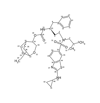 CC(C)CN(CC[C@H](Cc1ccccc1)NC(=O)OC1COC2OCC1CCC2C)S(=O)(=O)c1ccc2nc(NC3CC3)sc2c1